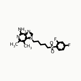 Cc1nc(N)c2ncn(CCCCCS(=O)(=O)c3ccc(F)cc3F)c2c1C